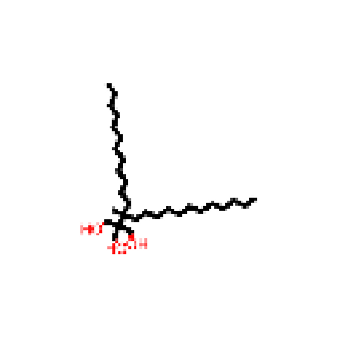 CCCCCCCCCCCCC(C)(CCCCCCCCCCCC)C(CO)(CO)CO